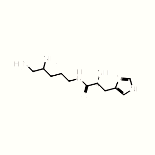 NCC(N)CCCNC(=O)[C@@H](N)Cc1c[nH]cn1